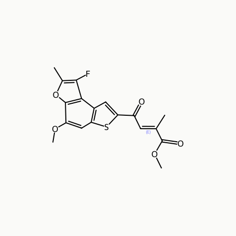 COC(=O)/C(C)=C/C(=O)c1cc2c(cc(OC)c3oc(C)c(F)c32)s1